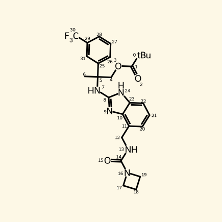 CC(C)(C)C(=O)OCC(C)(Nc1nc2c(CNC(=O)N3CCC3)cccc2[nH]1)c1cccc(C(F)(F)F)c1